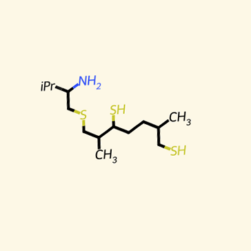 CC(CS)CCC(S)C(C)CSCC(N)C(C)C